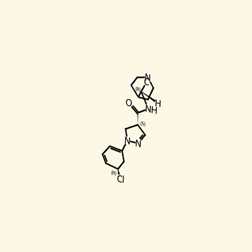 O=C(N[C@H]1CN2CCC1CC2)[C@@H]1C=NN(C2=CC=C[C@H](Cl)C2)C1